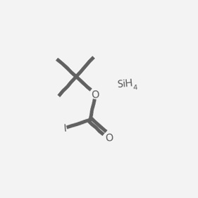 CC(C)(C)OC(=O)I.[SiH4]